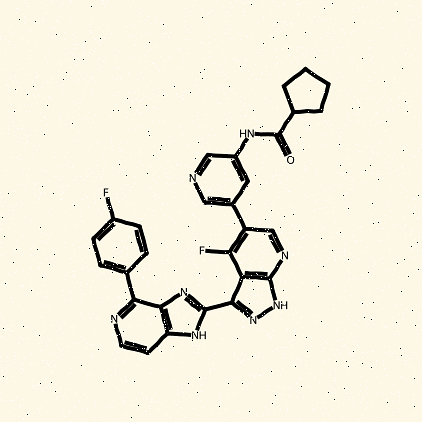 O=C(Nc1cncc(-c2cnc3[nH]nc(-c4nc5c(-c6ccc(F)cc6)nccc5[nH]4)c3c2F)c1)C1CCCC1